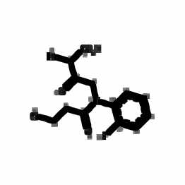 CCC(C(=O)O)C(=O)CN(C(=O)CCCl)c1ccccc1F